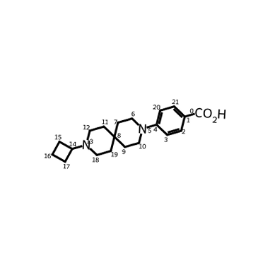 O=C(O)c1ccc(N2CCC3(CC2)CCN(C2CCC2)CC3)cc1